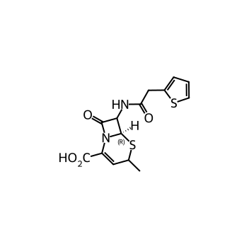 CC1C=C(C(=O)O)N2C(=O)C(NC(=O)Cc3cccs3)[C@H]2S1